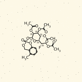 CC(=O)OC[C@H](F)[C@H]1O[C@@H](OP2(=O)OCc3c(C)cccc3O2)[C@@H](OC(C)=O)[C@@H](OC(C)=O)[C@@H]1OC(C)=O